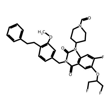 COc1cc(Cn2c(=O)c3cc(OC(CF)CF)c(F)cc3n(C3CCN(C=O)CC3)c2=O)ccc1CCc1ccccc1